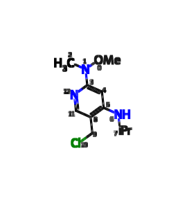 CON(C)c1cc(NC(C)C)c(CCl)cn1